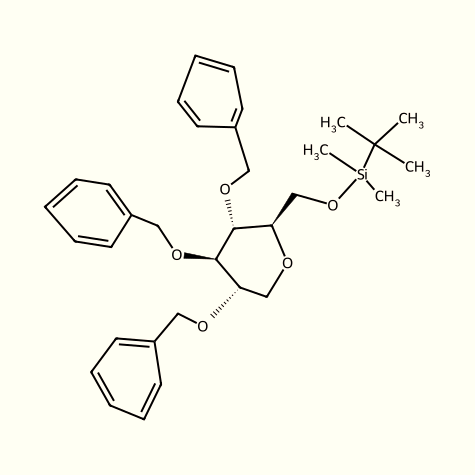 CC(C)(C)[Si](C)(C)OC[C@H]1OC[C@H](OCc2ccccc2)[C@@H](OCc2ccccc2)[C@@H]1OCc1ccccc1